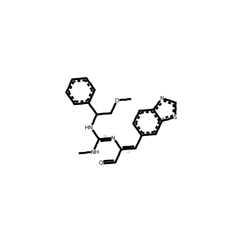 CN/C(=N\C(C=O)=C/c1ccc2ncsc2c1)NC(COC)c1ccccc1